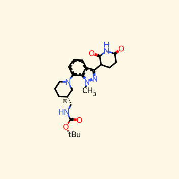 Cn1nc(C2CCC(=O)NC2=O)c2cccc(N3CCC[C@@H](CNC(=O)OC(C)(C)C)C3)c21